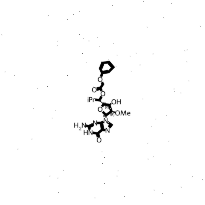 CO[C@@H]1[C@H](O)[C@@H](C(OC(=O)COc2ccccc2)C(C)C)O[C@H]1n1cnc2c(=O)[nH]c(N)nc21